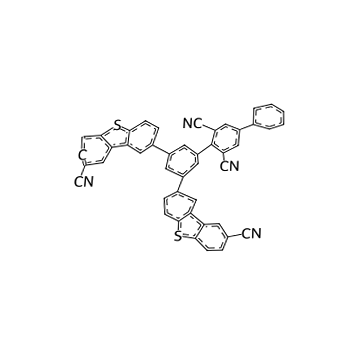 N#Cc1ccc2sc3ccc(-c4cc(-c5ccc6sc7ccc(C#N)cc7c6c5)cc(-c5c(C#N)cc(-c6ccccc6)cc5C#N)c4)cc3c2c1